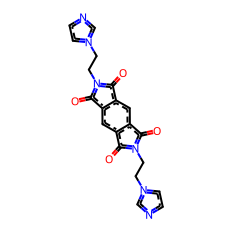 O=c1c2cc3c(=O)n(CCn4ccnc4)c(=O)c3cc2c(=O)n1CCn1ccnc1